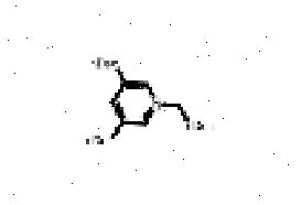 CCCCCCCCCCC[n+]1cc(CCCCCCCCCC)cc(CCCCCCCCCC)c1